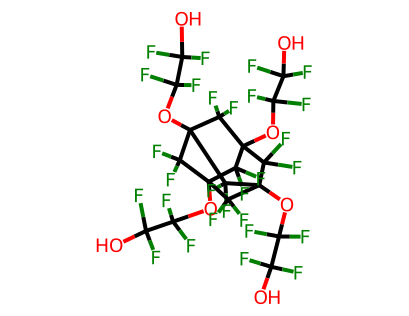 OC(F)(F)C(F)(F)OC12C(F)(F)C3(OC(F)(F)C(O)(F)F)C(F)(F)C(OC(F)(F)C(O)(F)F)(C1(F)F)C(F)(F)C(OC(F)(F)C(O)(F)F)(C2(F)F)C3(F)F